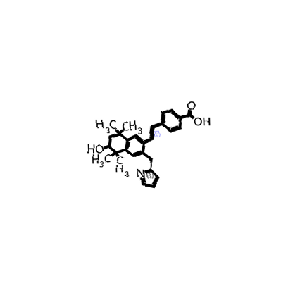 CC1(C)CC(O)C(C)(C)c2cc(C[C@H]3C=CC=N3)c(/C=C/c3ccc(C(=O)O)cc3)cc21